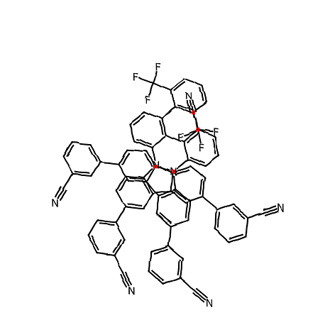 N#Cc1cccc(-c2ccc3c(c2)c2cc(-c4cccc(C#N)c4)ccc2n3-c2cccc(C#N)c2-c2c(-c3c(C(F)(F)F)cccc3C(F)(F)F)cccc2-n2c3ccc(-c4cccc(C#N)c4)cc3c3cc(-c4cccc(C#N)c4)ccc32)c1